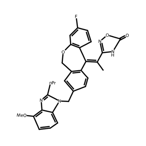 CCCc1nc2c(OC)cccc2n1Cc1ccc2c(c1)COc1cc(F)ccc1C2=C(C)c1noc(=O)[nH]1